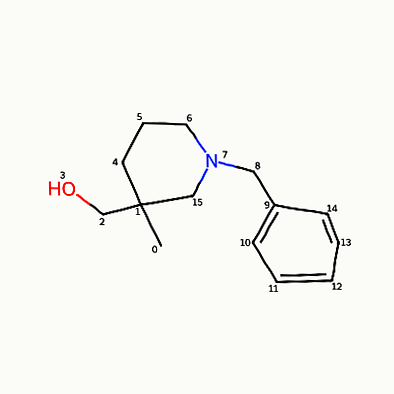 CC1(CO)CCCN(Cc2ccccc2)C1